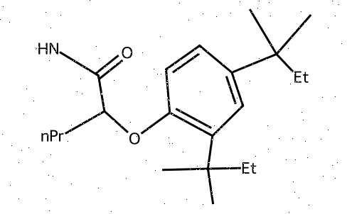 CCCC(Oc1ccc(C(C)(C)CC)cc1C(C)(C)CC)C([NH])=O